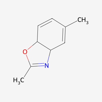 CC1=CC2N=C(C)OC2C=C1